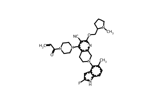 C=CC(=O)N1CCN(c2c(C#N)c(OCC3CCCN3C)nc3c2CCN(c2c(C)ccc4[nH]c(F)cc24)C3)CC1